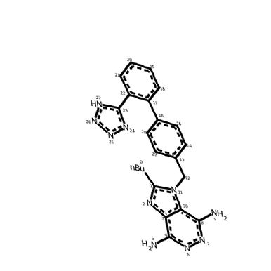 CCCCc1nc2c(N)nnc(N)c2n1Cc1ccc(-c2ccccc2-c2nnn[nH]2)cc1